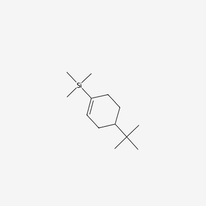 CC(C)(C)C1CC=C([Si](C)(C)C)CC1